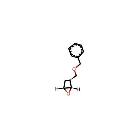 c1ccc(COC[C@@H]2C[C@H]3O[C@@H]23)cc1